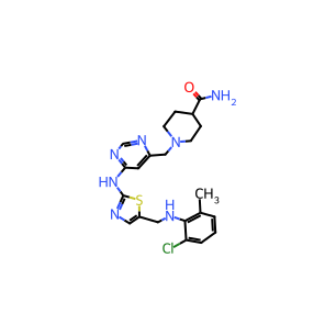 Cc1cccc(Cl)c1NCc1cnc(Nc2cc(CN3CCC(C(N)=O)CC3)ncn2)s1